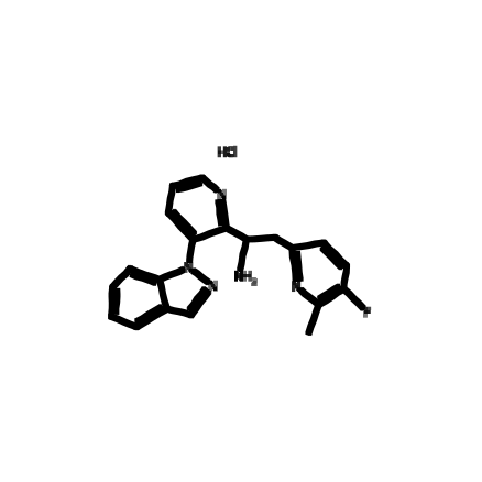 Cc1nc(CC(N)c2ncccc2-n2ncc3ccccc32)ccc1F.Cl